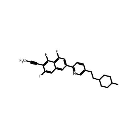 CC1CCC(CCc2ccc(-c3cc(F)c4c(F)c(C#CC(F)(F)F)c(F)cc4c3)nc2)CC1